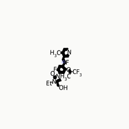 CCn1c(CO)cn(-c2cc(O[C@@H](C)C(F)(F)F)c(/C(F)=C/c3cnccc3C)cc2F)c1=O